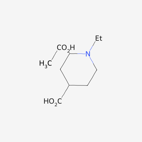 CC(=O)O.CCN1CCC(C(=O)O)CC1